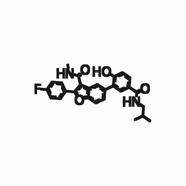 CNC(=O)c1c(-c2ccc(F)cc2)oc2ccc(-c3cc(C(=O)NCC(C)C)ccc3O)cc12